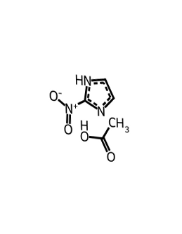 CC(=O)O.O=[N+]([O-])c1ncc[nH]1